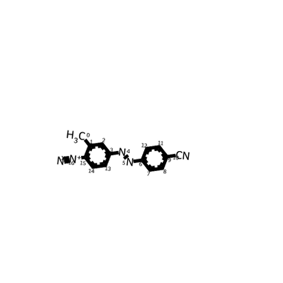 Cc1cc(/N=N/c2ccc(C#N)cc2)ccc1[N+]#N